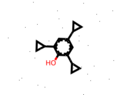 Oc1c(C2CC2)cc(C2CC2)cc1C1CC1